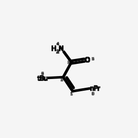 CCCC=C(C(N)=O)C(C)(C)C